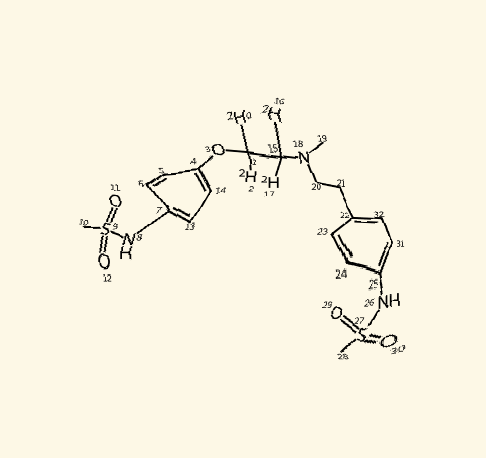 [2H]C([2H])(Oc1ccc(NS(C)(=O)=O)cc1)C([2H])([2H])N(C)CCc1ccc(NS(C)(=O)=O)cc1